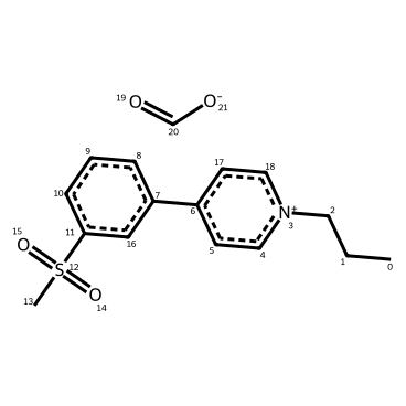 CCC[n+]1ccc(-c2cccc(S(C)(=O)=O)c2)cc1.O=C[O-]